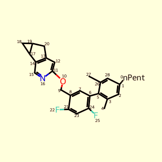 CCCCCc1cc(C)c(-c2cc(COc3cc4c(cn3)C3CC3C4)c(F)cc2F)c(C)c1